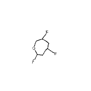 FC1COC(F)CC(F)C1